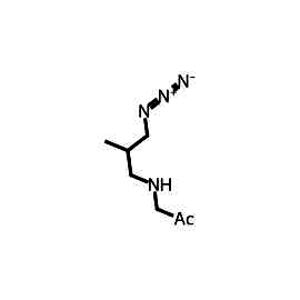 CC(=O)CNCC(C)CN=[N+]=[N-]